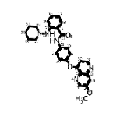 COc1cnc2c(Oc3ccc(NC(=O)c4ccccc4NN4CCCCC4)cc3)ccnc2c1